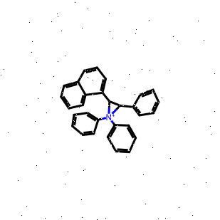 c1ccc(C2C(c3cccc4ccccc34)[N+]2(c2ccccc2)c2ccccc2)cc1